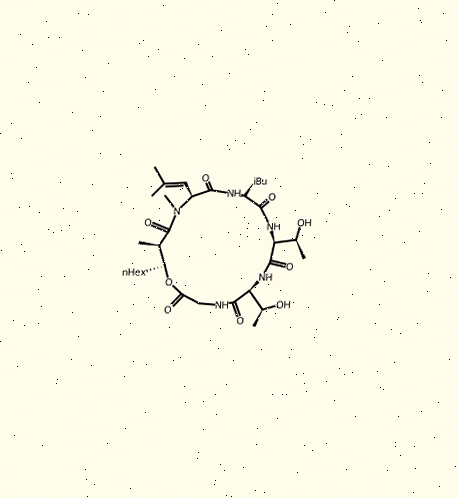 CCCCCC[C@H]1OC(=O)CNC(=O)[C@H]([C@H](C)O)NC(=O)[C@H]([C@H](C)O)NC(=O)[C@H]([C@H](C)CC)NC(=O)[C@H](C=C(C)C)N(C)C(=O)[C@@H]1C